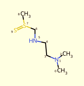 CN(C)CCNCS(C)=S